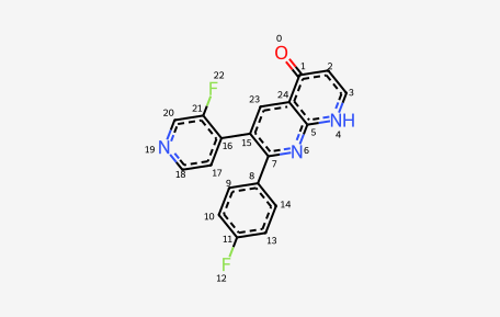 O=c1cc[nH]c2nc(-c3ccc(F)cc3)c(-c3ccncc3F)cc12